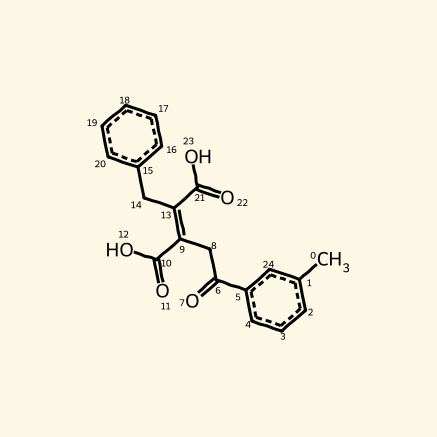 Cc1cccc(C(=O)C/C(C(=O)O)=C(/Cc2ccccc2)C(=O)O)c1